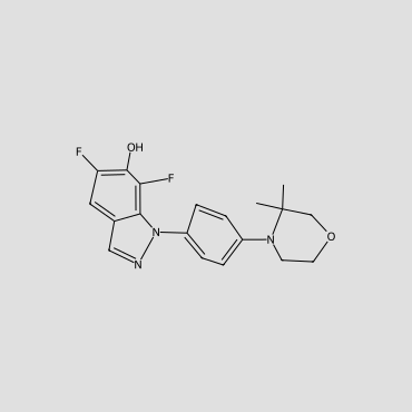 CC1(C)COCCN1c1ccc(-n2ncc3cc(F)c(O)c(F)c32)cc1